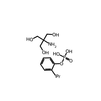 CC(C)c1ccccc1OP(=O)(O)O.NC(CO)(CO)CO